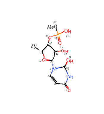 CC[C@H]1O[C@@H](N2C=CC(=O)NC2O)C(O)C1OP(=O)(O)OC